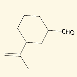 C=C(C)C1CCCC(C=O)C1